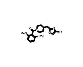 COc1cccc(OC)c1C(=O)N1CCC(Cc2nc(C(C)C)no2)CC1